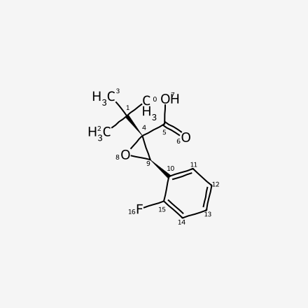 CC(C)(C)[C@]1(C(=O)O)O[C@@H]1c1ccccc1F